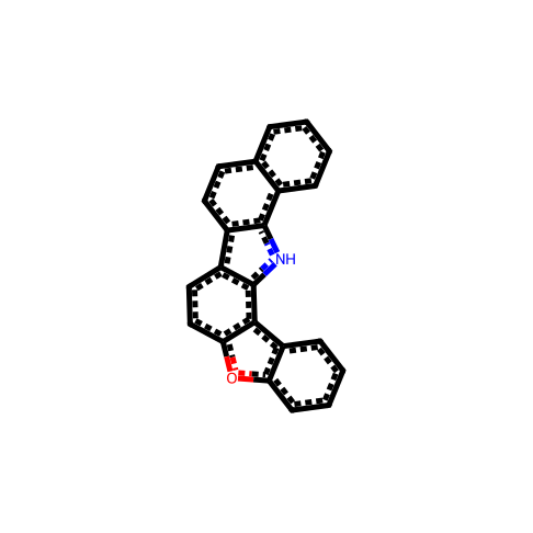 c1ccc2c(c1)ccc1c3ccc4oc5ccccc5c4c3[nH]c21